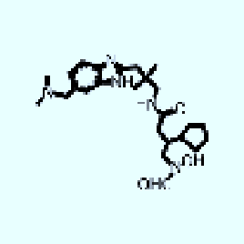 CN(C)Cc1ccc2nc(CC(C)(C)CNC(=O)CC(CN(O)C=O)C3CCCC3)[nH]c2c1